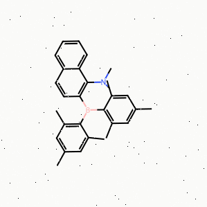 Cc1cc(C)c(B(c2ccc3ccccc3c2N(C)C)c2c(C)cc(C)cc2C)c(C)c1